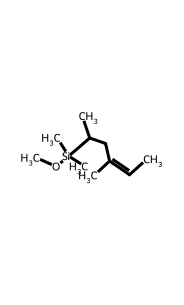 CC=C(C)CC(C)[Si](C)(C)OC